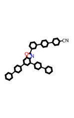 N#Cc1ccc(-c2ccc(-c3cccc(-c4nc5c(-c6ccc(-c7ccccc7)cc6)cc(-c6ccc(-c7ccccc7)cc6)cc5o4)c3)cc2)cc1